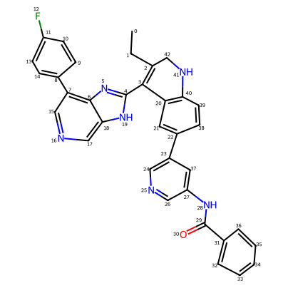 CCC1=C(c2nc3c(-c4ccc(F)cc4)cncc3[nH]2)c2cc(-c3cncc(NC(=O)c4ccccc4)c3)ccc2NC1